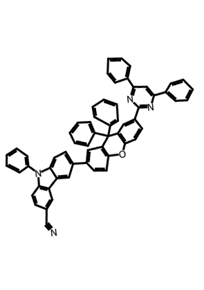 N#Cc1ccc2c(c1)c1cc(-c3ccc4c(c3)C(c3ccccc3)(c3ccccc3)c3cc(-c5nc(-c6ccccc6)cc(-c6ccccc6)n5)ccc3O4)ccc1n2-c1ccccc1